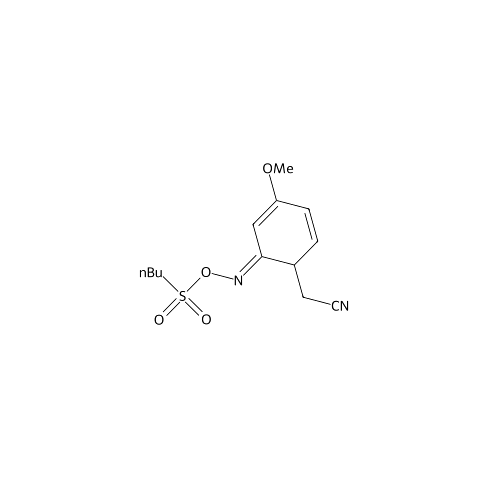 CCCCS(=O)(=O)ON=C1C=C(OC)C=CC1CC#N